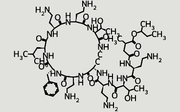 CCC(C)OC(=O)C(C)CC(=O)N[C@@H](CCN)C(=O)N[C@H](C(=O)N[C@@H](CCN)C(=O)N[C@H]1CCNC(=O)[C@H]([C@H](C)O)NC(=O)[C@H](CCN)NC(=O)[C@H](CCN)NC(=O)[C@H](CC(C)C)NC(=O)[C@@H](Cc2ccccc2)NC(=O)[C@H](CCN)NC1=O)C(C)O